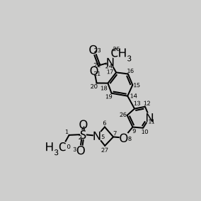 CCS(=O)(=O)N1CC(Oc2cncc(-c3ccc4c(c3)COC(=O)N4C)c2)C1